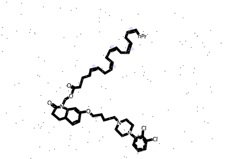 CCC/C=C\C/C=C\C/C=C\C/C=C\C/C=C\CCCC(=O)OCN1C(=O)CCC2C=CC(OCCCCN3CCN(c4cccc(Cl)c4Cl)CC3)=CC21